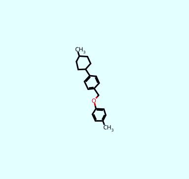 Cc1ccc(OCc2ccc(C3CCC(C)CC3)cc2)cc1